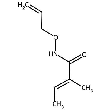 C=CCONC(=O)C(C)=CC